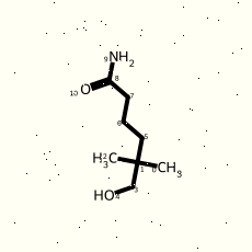 CC(C)(CO)CCCC(N)=O